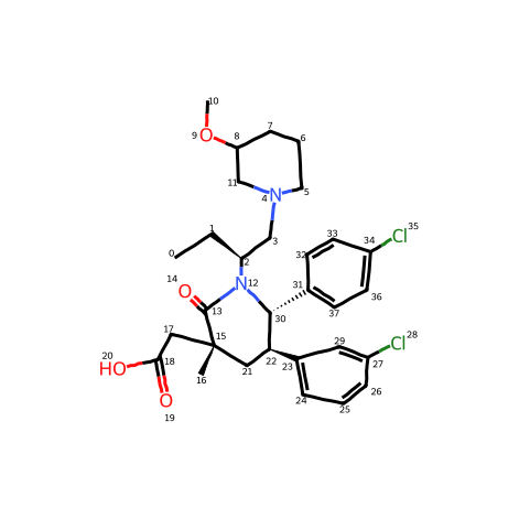 CC[C@@H](CN1CCCC(OC)C1)N1C(=O)[C@@](C)(CC(=O)O)C[C@H](c2cccc(Cl)c2)[C@H]1c1ccc(Cl)cc1